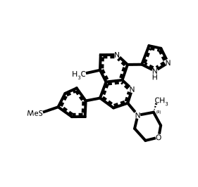 CSc1ccc(-c2cc(N3CCOC[C@H]3C)nc3c(-c4ccn[nH]4)ncc(C)c23)cc1